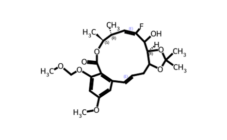 COCOc1cc(OC)cc2c1C(=O)O[C@@H](C)[C@H](C)/C=C(/F)C(O)[C@H]1OC(C)(C)OC1C/C=C/2